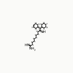 N=C(N)CCCCCCCCC(=N)N(C1CCCCC1)C1CCCCC1